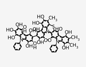 Cc1c(C)c(O)c2c(c1O)c1c(O)c3c4c(ooc5c(O)c(-c6c(O)c(O)c7c(c6O)c6c(O)c(O)c(O)c(O)c6n7-c6ccccc6)c(O)c6c7c(O)c(O)c(C)c(c7n4c56)S3)c1n2-c1ccccc1